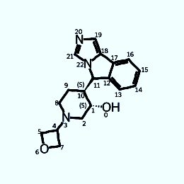 O[C@@H]1CN(C2COC2)CC[C@H]1C1c2ccccc2-c2cncn21